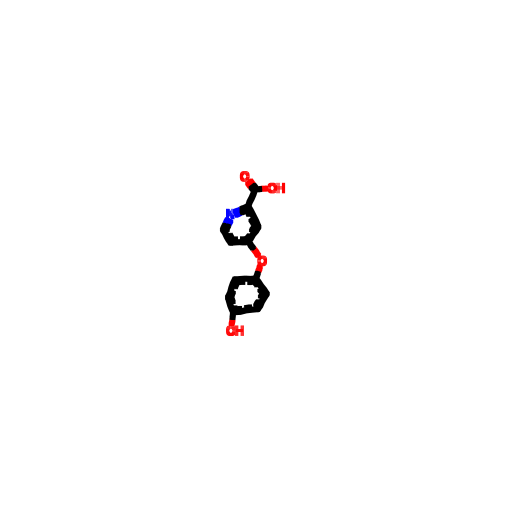 O=C(O)c1cc(Oc2ccc(O)cc2)ccn1